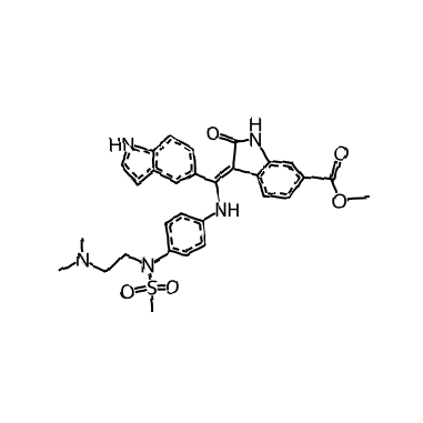 COC(=O)c1ccc2c(c1)NC(=O)C2=C(Nc1ccc(N(CCN(C)C)S(C)(=O)=O)cc1)c1ccc2[nH]ccc2c1